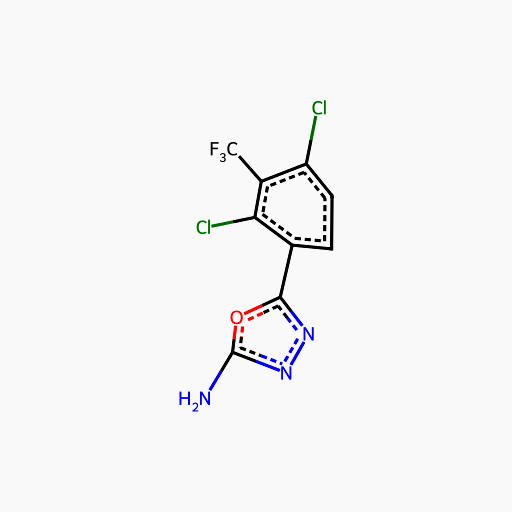 Nc1nnc(-c2ccc(Cl)c(C(F)(F)F)c2Cl)o1